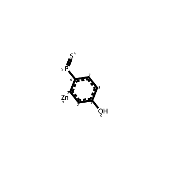 Oc1ccc(P=S)cc1.[Zn]